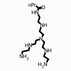 CCCC(=O)NCCNCCN(CCNCCN)CCNCCN